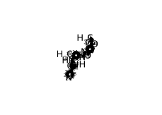 CCS(=O)(=O)c1ccc2oc(Nc3ccc(C)c(Nc4ncc(-c5ccncc5)o4)c3)nc2c1